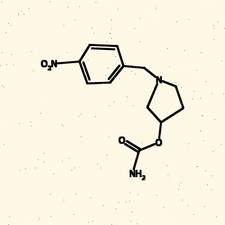 NC(=O)OC1CCN(Cc2ccc([N+](=O)[O-])cc2)C1